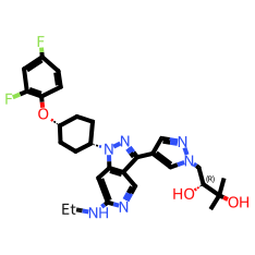 CCNc1cc2c(cn1)c(-c1cnn(C[C@@H](O)C(C)(C)O)c1)nn2[C@H]1CC[C@@H](Oc2ccc(F)cc2F)CC1